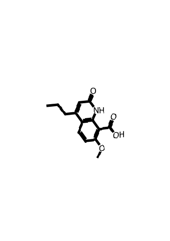 CCCc1cc(=O)[nH]c2c(C(=O)O)c(OC)ccc12